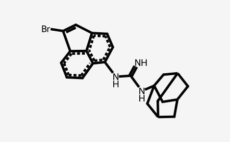 N=C(Nc1ccc2c3c(cccc13)C(Br)=C2)NC12CC3CC(CC(C3)C1)C2